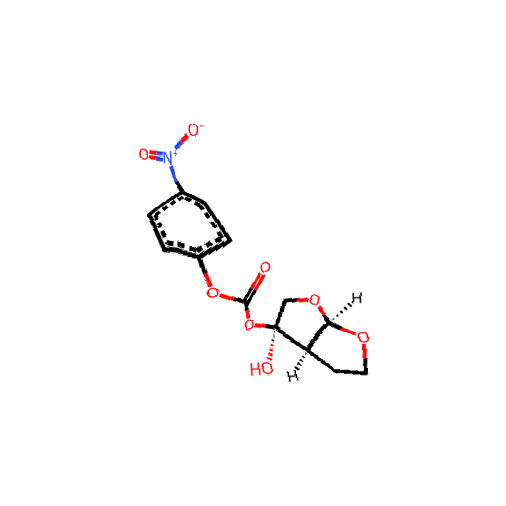 O=C(Oc1ccc([N+](=O)[O-])cc1)O[C@@]1(O)CO[C@H]2OCC[C@H]21